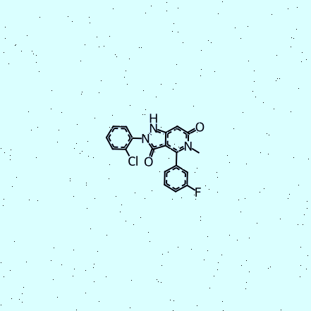 Cn1c(-c2cccc(F)c2)c2c(=O)n(-c3ccccc3Cl)[nH]c2cc1=O